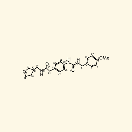 COc1ccc(CNC(=O)Nc2ccc(CC(=O)NC[C@H]3CCOC3)cc2)cc1